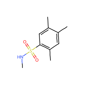 CNS(=O)(=O)c1cc(C)c(C)cc1C